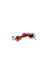 CCC(CC)(OC(=O)C1CC(OC(=O)CCC(=O)OC(C)C(F)(F)S(=O)(=O)O)C(=O)O1)C1CCCC1